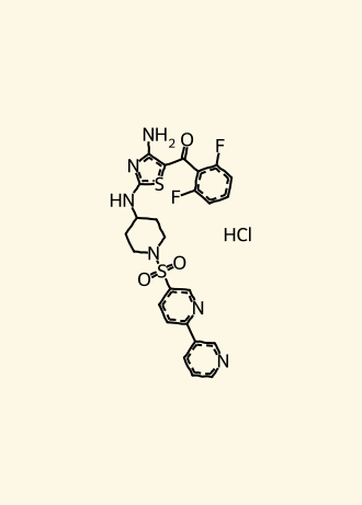 Cl.Nc1nc(NC2CCN(S(=O)(=O)c3ccc(-c4cccnc4)nc3)CC2)sc1C(=O)c1c(F)cccc1F